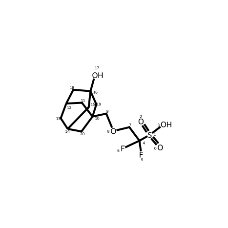 O=S(=O)(O)C(F)(F)COCC12CC3CC(CC(O)(C3)C1)C2